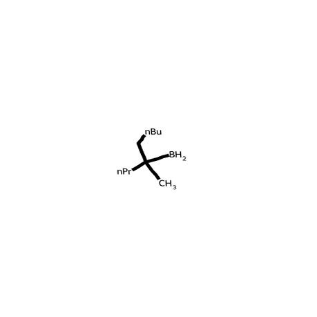 BC(C)(CCC)CCCCC